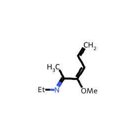 C=C/C=C(OC)\C(C)=N\CC